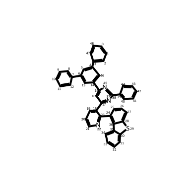 c1ccc(-c2cc(-c3ccccc3)cc(-c3cc(-c4cccnc4-c4cccc5sc6ccccc6c45)nc(-c4ccccc4)n3)c2)cc1